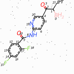 BC(C(=O)c1ccc(NC(=O)c2ccc(F)cc2F)nc1)C(C)C